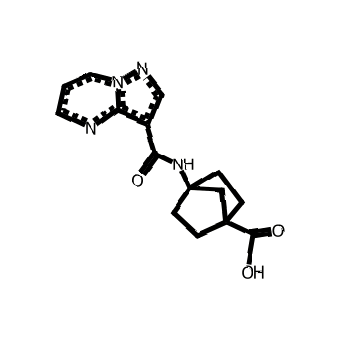 O=C(NC12CCC(C(=O)O)(CC1)C2)c1cnn2cccnc12